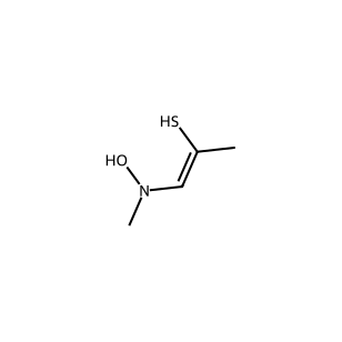 C/C(S)=C/N(C)O